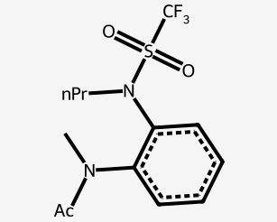 CCCN(c1ccccc1N(C)C(C)=O)S(=O)(=O)C(F)(F)F